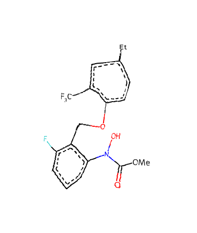 CCc1ccc(OCc2c(F)cccc2N(O)C(=O)OC)c(C(F)(F)F)c1